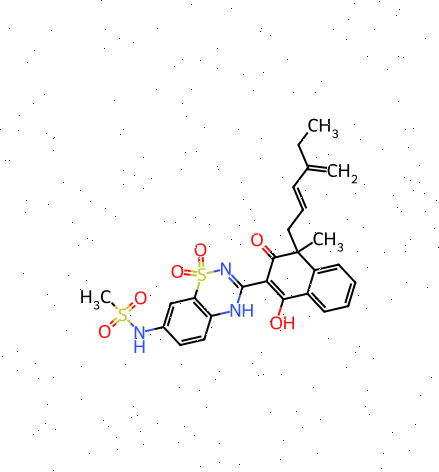 C=C(C=CCC1(C)C(=O)C(C2=NS(=O)(=O)c3cc(NS(C)(=O)=O)ccc3N2)=C(O)c2ccccc21)CC